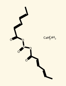 C/C=C/C=C/C(=O)OS(=O)OC(=O)/C=C/C=C/C.[CaH2].[CaH2]